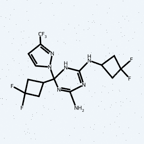 NC1=NC(C2CC(F)(F)C2)(n2ccc(C(F)(F)F)n2)NC(NC2CC(F)(F)C2)=N1